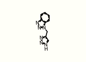 c1ccc2c(c1)nnn2Cc1c[nH]nn1